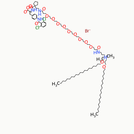 CCCCCCCCCCCCCCCCCCCCOCC(C[N+](C)(C)CCCNC(=O)CCOCCOCCOCCOCCOCCOCCOCCOCCOCCC(=O)NCCC1(C(=O)N[C@@H](Cc2ccc(NC(=O)c3c(Cl)cccc3Cl)cc2)C(=O)O)CCCC1)OCCCCCCCCCCCCCCCCCCCC.[Br-]